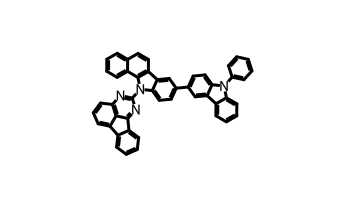 c1ccc(-n2c3ccccc3c3cc(-c4ccc5c(c4)c4ccc6ccccc6c4n5-c4nc5c6c(cccc6n4)-c4ccccc4-5)ccc32)cc1